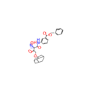 O=C(COC12CC3CC(CC(C3)C1)C2)/C(=N/O)C(=O)Nc1cccc(C(=O)OCc2ccccc2)c1